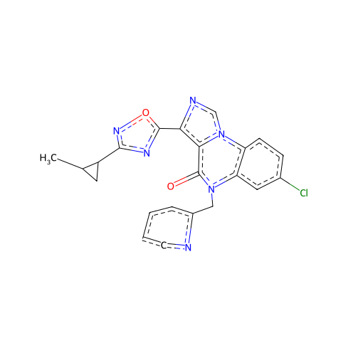 CC1CC1c1noc(-c2ncn3c2c(=O)n(Cc2ccccn2)c2cc(Cl)ccc23)n1